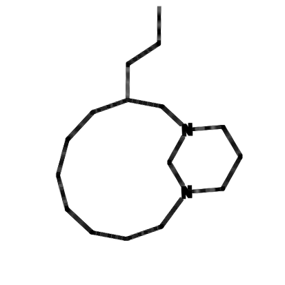 CCCC1CCCCCCCN2CCCN(C1)C2